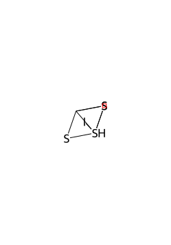 I[SH]123SC1(S2)S3